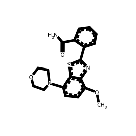 COc1ccc(N2CCOCC2)c2sc(-c3ccccc3C(N)=O)nc12